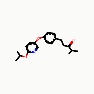 CC(C)Oc1ccc(Oc2ccc(CCC(=O)C(C)C)cc2)cn1